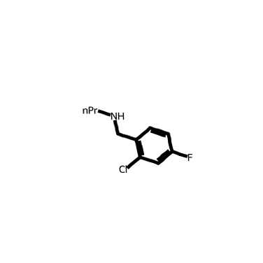 CCCNCc1ccc(F)cc1Cl